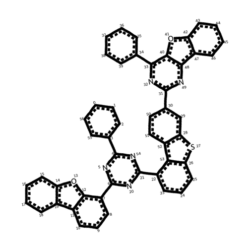 c1ccc(-c2nc(-c3cccc4c3oc3ccccc34)nc(-c3cccc4sc5cc(-c6nc(-c7ccccc7)c7oc8ccccc8c7n6)ccc5c34)n2)cc1